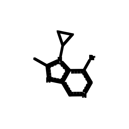 Cc1nc2cncc(Br)c2n1C1CC1